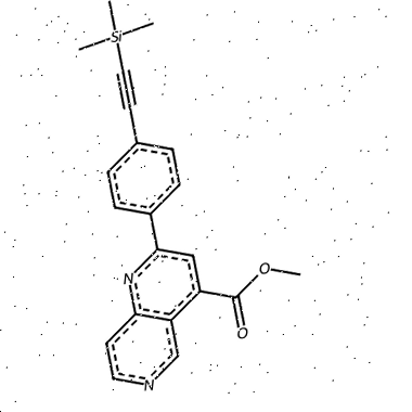 COC(=O)c1cc(-c2ccc(C#C[Si](C)(C)C)cc2)nc2ccncc12